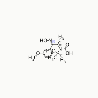 COc1cccc(/C(=N\O)[C@@H](C)N(C(=O)O)C(C)(C)C)c1